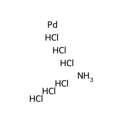 Cl.Cl.Cl.Cl.Cl.Cl.N.[Pd]